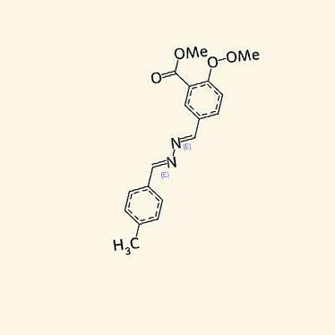 COOc1ccc(/C=N/N=C/c2ccc(C)cc2)cc1C(=O)OC